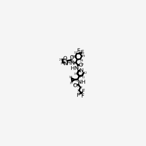 O=C(CCC(F)(F)F)NC(c1ccnc(NC(=O)[C@@H](NC(=O)c2ncco2)C2CCC(F)(F)CC2)c1)C1CC1